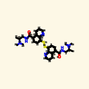 CC(CNC(=O)c1ccc(SSc2ccc(C(=O)NCC(C)N(C)C)c3cccnc23)c2ncccc12)N(C)C